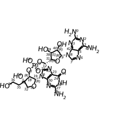 Nc1nc(N)c2ncn([C@@H]3O[C@H](COP(=O)(O)O[C@H]4[C@H](n5cnc6c(=O)[nH]c(N)nc65)OC[C@@]4(O)CCO)[C@@H](O)[C@H]3O)c2n1